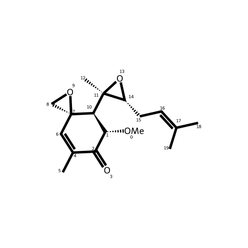 CO[C@@H]1C(=O)C(C)=C[C@]2(CO2)[C@H]1[C@@]1(C)O[C@@H]1CC=C(C)C